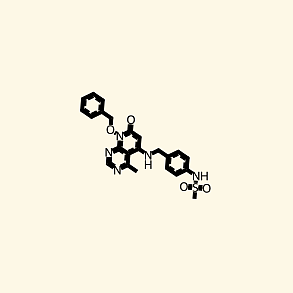 Cc1ncnc2c1c(NCc1ccc(NS(C)(=O)=O)cc1)cc(=O)n2OCc1ccccc1